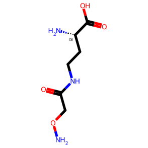 NOCC(=O)NCC[C@H](N)C(=O)O